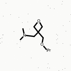 CC(C)OCC1(CN(C)C)COC1